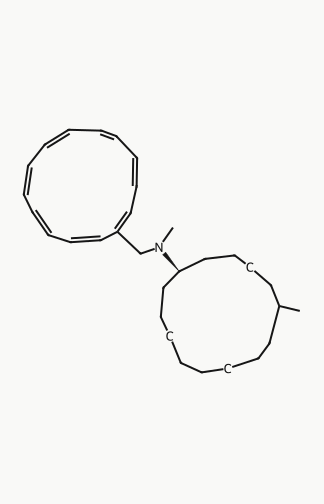 CC1CCCCCCCC[C@@H](N(C)Cc2ccccccccccccc2)CCCC1